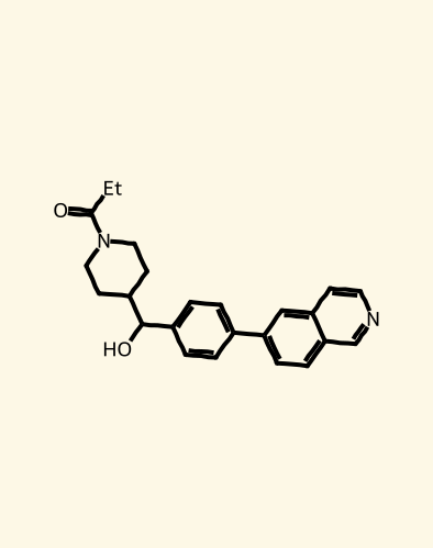 CCC(=O)N1CCC(C(O)c2ccc(-c3ccc4cnccc4c3)cc2)CC1